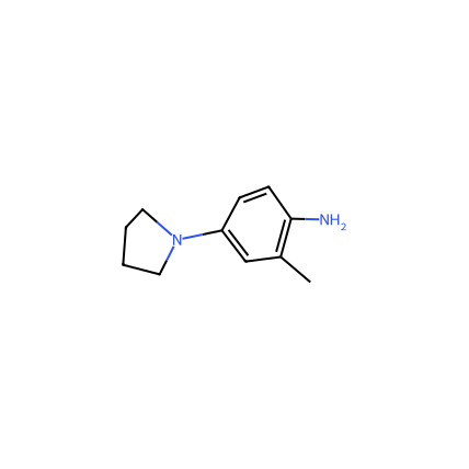 Cc1cc(N2CCCC2)ccc1N